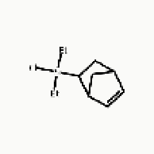 CC[Si](Cl)(CC)C1CC2C=CC1C2